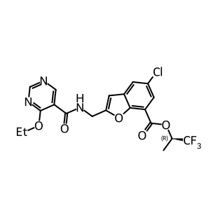 CCOc1ncncc1C(=O)NCc1cc2cc(Cl)cc(C(=O)O[C@H](C)C(F)(F)F)c2o1